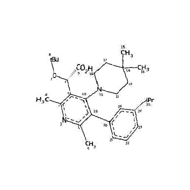 Cc1nc(C)c([C@H](OC(C)(C)C)C(=O)O)c(N2CCC(C)(C)CC2)c1-c1cccc(C(C)C)c1